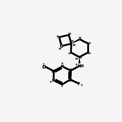 Fc1cnc(Cl)nc1N[C@H]1CCC[C@]2(CCO2)C1